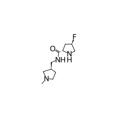 CN1CC[C@H](CNC(=O)[C@@H]2C[C@@H](F)CN2)C1